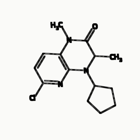 CC1C(=O)N(C)c2ccc(Cl)nc2N1C1CCCC1